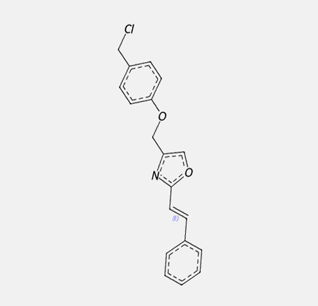 ClCc1ccc(OCc2coc(/C=C/c3ccccc3)n2)cc1